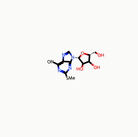 CSc1nc(N=O)c2ncn([C@@H]3O[C@H](CO)C(O)C3O)c2n1